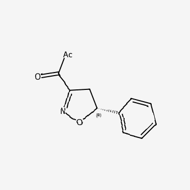 CC(=O)C(=O)C1=NO[C@@H](c2ccccc2)C1